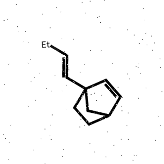 CCC=CC12C=CC(CC1)C2